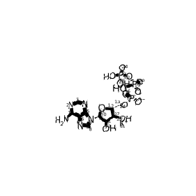 Nc1ncnc2c1ncn2[C@@H]1O[C@H](COP(=O)([O-])OP(=O)(O)OP(=O)(O)O)C(O)C1O.[K+]